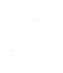 CN1CCc2c(C#N)ccc(OS(=O)(=O)C(F)(F)F)c2C1